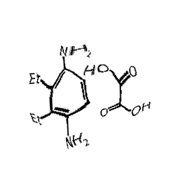 CCc1c(N)ccc(N)c1CC.O=C(O)C(=O)O